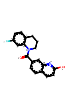 O=C(c1ccc2ccc(O)nc2c1)N1CCCc2ccc(F)cc21